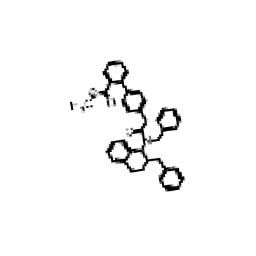 COC(=O)c1ccccc1-c1ccc(CC(=O)N(Cc2ccccc2)C2c3ccccc3CCC2Cc2ccccc2)cc1